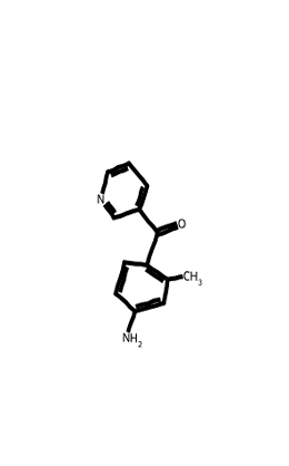 Cc1cc(N)ccc1C(=O)c1cccnc1